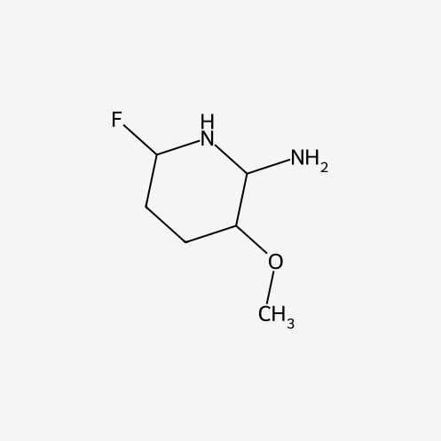 COC1CCC(F)NC1N